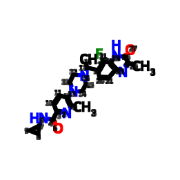 Cc1nc(C(=O)NC2CC2)ccc1N1CCN(C(C)c2ccc3nc(C)c(=O)[nH]c3c2F)CC1